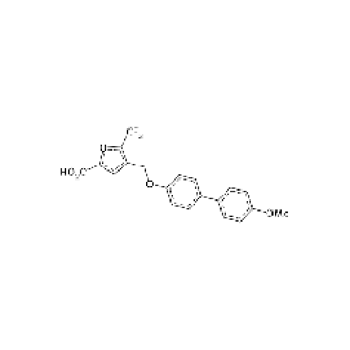 COc1ccc(-c2ccc(OCc3cc(C(=O)O)oc3C(F)(F)F)cc2)cc1